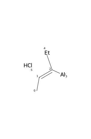 CC=[C]([Al])CC.Cl